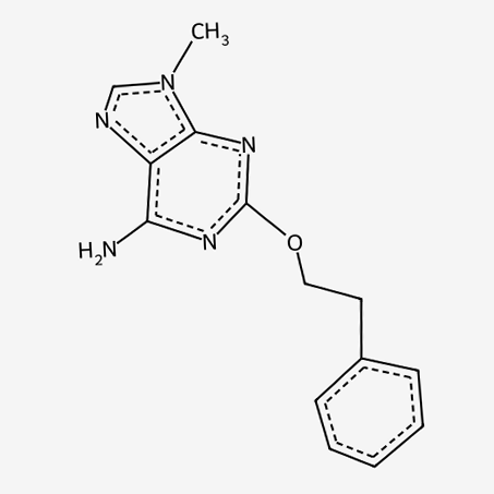 Cn1cnc2c(N)nc(OCCc3ccccc3)nc21